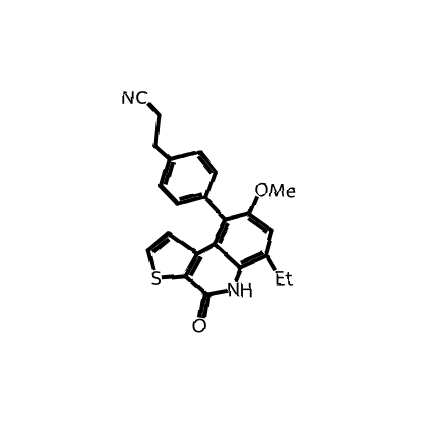 CCc1cc(OC)c(-c2ccc(CCC#N)cc2)c2c1[nH]c(=O)c1sccc12